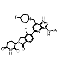 CC(C)Nc1n[nH]c2c(CN3CCC(F)CC3)cc(-c3ccc4c(c3F)CN(C3CCC(=O)NC3=O)C4=O)nc12